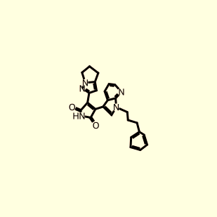 O=C1NC(=O)C(c2cn(CCCc3ccccc3)c3ncccc23)=C1c1cc2n(n1)CCC2